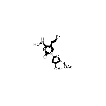 CC(=O)OC[C@H]1O[C@@H](n2cc(C=CBr)c(NO)nc2=O)C[C@@H]1OC(C)=O